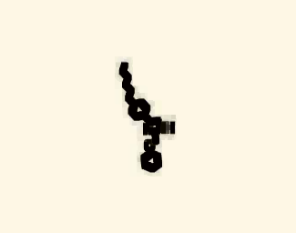 CCCCCCc1ccc(-c2c[nH]c(COc3ccccc3)n2)cc1